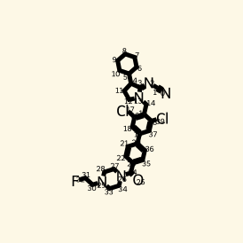 N#CN=C1C(C2CCCCC2)CCN1Cc1c(Cl)cc(-c2ccc(C(=O)N3CCN(CCF)CC3)cc2)cc1Cl